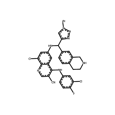 CC(C)n1cc(C(Nc2cc(Cl)c3ncc(C#N)c(Nc4ccc(F)c(Cl)c4)c3c2)c2ccc3c(c2)CNCC3)nn1